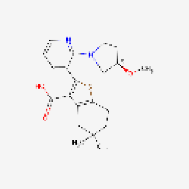 CO[C@@H]1CCN(c2ncccc2-c2sc3c(c2C(=O)O)CC(C)(C)CC3)C1